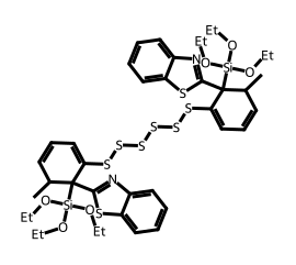 CCO[Si](OCC)(OCC)C1(c2nc3ccccc3s2)C(SSSSSSC2=CC=CC(C)C2(c2nc3ccccc3s2)[Si](OCC)(OCC)OCC)=CC=CC1C